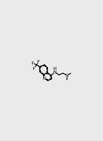 CN(C)CCNc1ccnc2cc(C(F)(F)F)ccc12